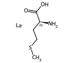 CSCC[C@H](N)C(=O)O.[La]